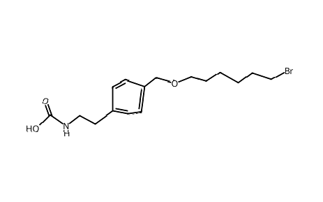 O=C(O)NCCc1ccc(COCCCCCCBr)cc1